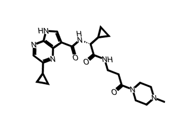 CN1CCN(C(=O)CCNC(=O)[C@H](NC(=O)c2c[nH]c3ncc(C4CC4)nc23)C2CC2)CC1